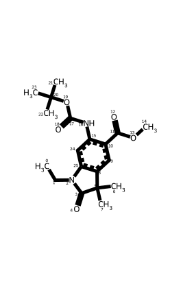 CCN1C(=O)C(C)(C)c2cc(C(=O)OC)c(NC(=O)OC(C)(C)C)cc21